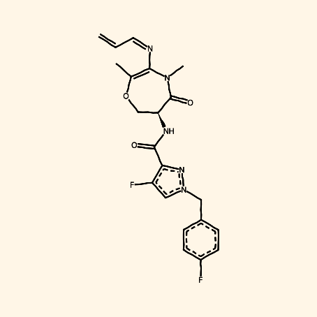 C=C/C=N\C1=C(C)OC[C@H](NC(=O)c2nn(Cc3ccc(F)cc3)cc2F)C(=O)N1C